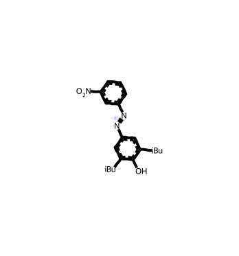 CCC(C)c1cc(/N=N/c2cccc([N+](=O)[O-])c2)cc(C(C)CC)c1O